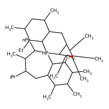 CCCC1C(C)C(C(C)C)CC2C(C)C(C)C(C)C(C)C2[PH]12C1C(C)C(C)C(C)C(C)C1CC1C(C)CC(C)C(CC)C12